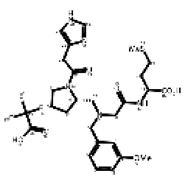 COc1cccc(CN(CC(=O)NC(CCSC)C(=O)O)C[C@@H]2CCCN2C(=O)Cc2c[nH]cn2)c1.O=C(O)C(F)(F)F